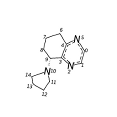 c1cnc2c(n1)CCC[C@H]2N1CCCC1